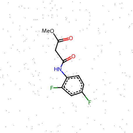 COC(=O)CC(=O)Nc1ccc(F)cc1F